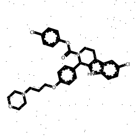 O=C(Oc1ccc(Cl)cc1)N1CCc2c([nH]c3ccc(Cl)cc23)C1c1ccc(OCCCN2CCOCC2)cc1